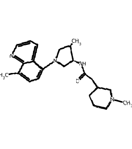 Cc1ccc(N2C[C@@H](C)[C@@H](NC(=O)CC3CCCN(C)C3)C2)c2cccnc12